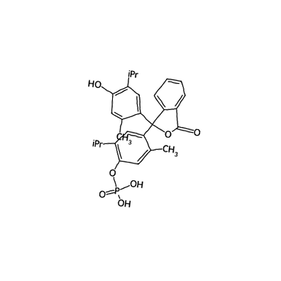 Cc1cc(O)c(C(C)C)cc1C1(c2cc(C(C)C)c(OP(=O)(O)O)cc2C)OC(=O)c2ccccc21